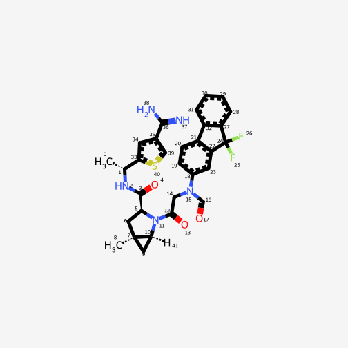 C[C@@H](NC(=O)[C@@H]1C[C@]2(C)C[C@@H]2N1C(=O)CN(C=O)c1ccc2c(c1)C(F)(F)c1ccccc1-2)c1cc(C(=N)N)cs1